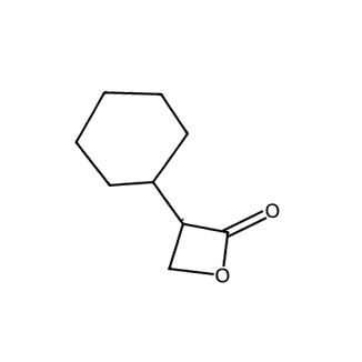 O=C1OC[C]1C1CCCCC1